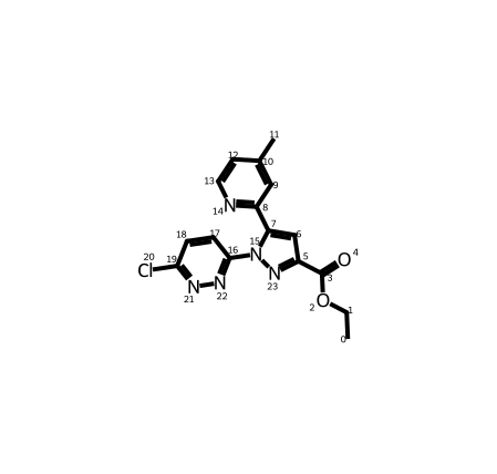 CCOC(=O)c1cc(-c2cc(C)ccn2)n(-c2ccc(Cl)nn2)n1